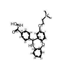 CN(C)CCOc1ccc2c(c1)C(c1ccc(C(=O)NO)cc1)Nc1ccccc1O2